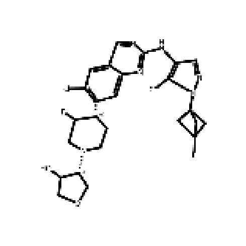 OC1COC[C@H]1N1CC[C@@H](c2cc3nc(Nc4cnn(C56CC(F)(C5)C6)c4Cl)ncc3cc2Cl)C(F)C1